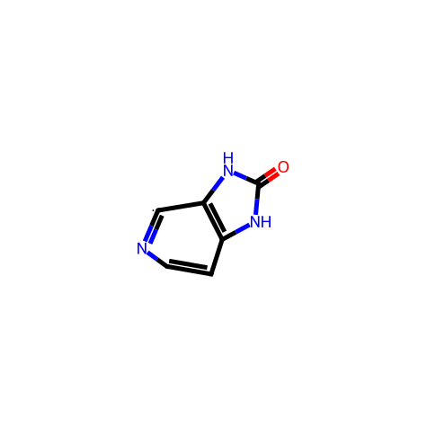 O=c1[nH]c2[c]nccc2[nH]1